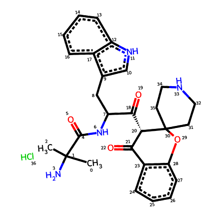 CC(C)(N)C(=O)NC(Cc1c[nH]c2ccccc12)C(=O)[C@H]1C(=O)c2ccccc2OC12CCNCC2.Cl